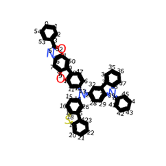 c1ccc(-c2nc3cc4oc5cc(N(c6ccc7sc8ccccc8c7c6)c6ccc7c(c6)c6ccccc6n7-c6ccccc6)ccc5c4cc3o2)cc1